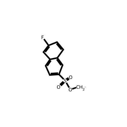 [CH2]OS(=O)(=O)c1ccc2cc(F)ccc2c1